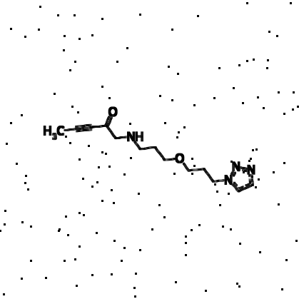 CC#CC(=O)CNCCCOCCCn1ccnn1